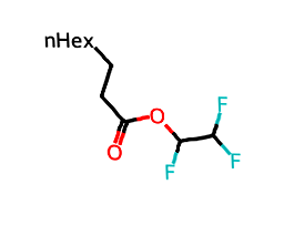 CCCCCCCCC(=O)OC(F)C(F)F